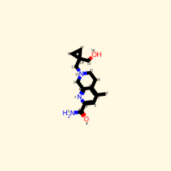 Cc1cc(C(N)=O)nc2c1CCN(CC1(CO)CC1)C2